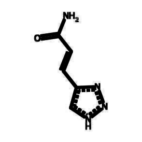 NC(=O)C=Cc1c[nH]nn1